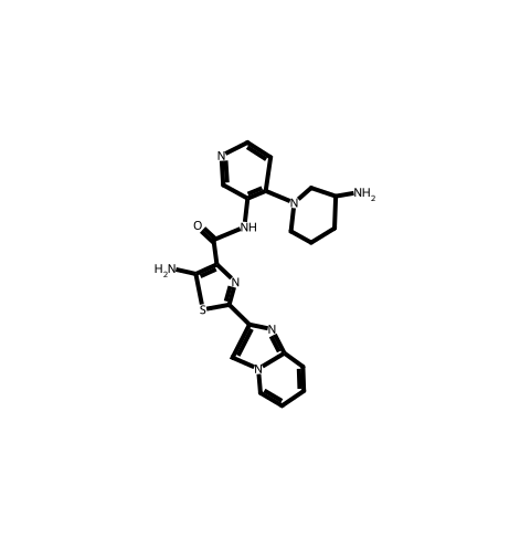 Nc1sc(-c2cn3ccccc3n2)nc1C(=O)Nc1cnccc1N1CCCC(N)C1